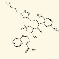 Cc1ccc(S(=O)(=O)O)cc1[C@H](OCc1cn(CCCN)nn1)C(=O)N1CC(F)(F)C[C@H]1C#N.NC(=O)c1ccnc2ccccc12